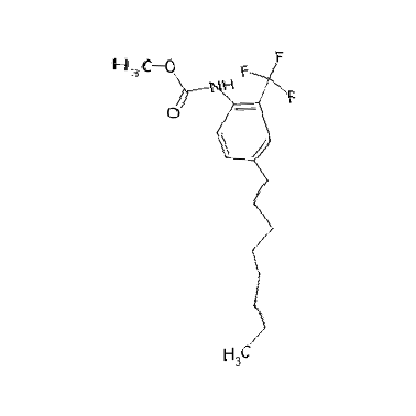 CCCCCCCCc1ccc(NC(=O)OC)c(C(F)(F)F)c1